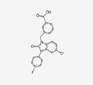 O=C(O)c1cccc(Cn2c(=O)n(-c3ccc(F)cc3)c3cc(Cl)ccc32)c1